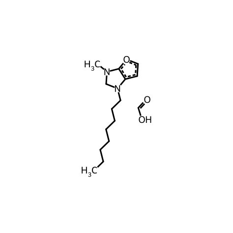 CCCCCCCCN1CN(C)c2occc21.O=CO